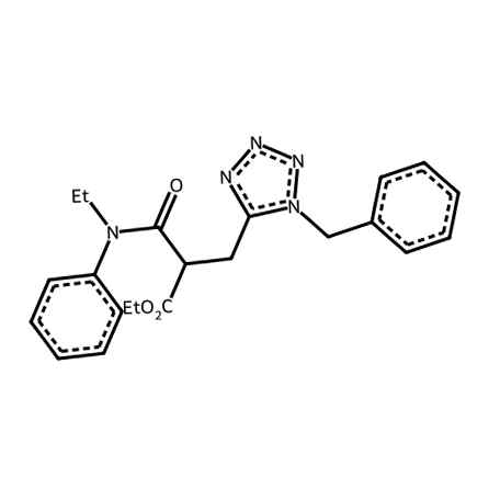 CCOC(=O)C(Cc1nnnn1Cc1ccccc1)C(=O)N(CC)c1ccccc1